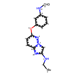 CC(C)(C)CNc1cn2nc(Oc3cccc(NC=O)c3)ccc2n1